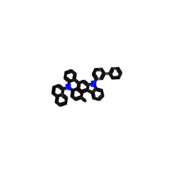 Cc1ccc(N(c2ccccc2-c2ccc3c4ccccc4n(-c4cccc(-c5ccccc5)c4)c3c2)c2cccc3ccccc23)cc1